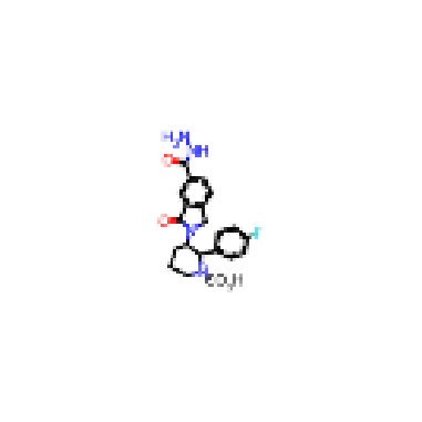 NNC(=O)c1ccc2c(c1)C(=O)N(C1CCCN(C(=O)O)C1c1ccc(F)cc1)C2